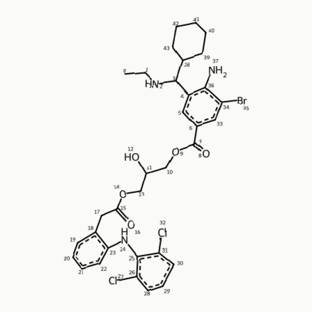 CCNC(c1cc(C(=O)OCC(O)COC(=O)Cc2ccccc2Nc2c(Cl)cccc2Cl)cc(Br)c1N)C1CCCCC1